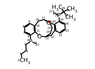 CCCCP(I)c1cccc2c1OC1CCCC(C2)Oc2c(cccc2P(I)C(C)(C)C)C1